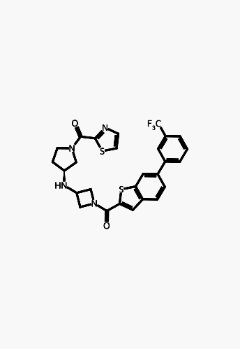 O=C(c1cc2ccc(-c3cccc(C(F)(F)F)c3)cc2s1)N1CC(N[C@H]2CCN(C(=O)c3nccs3)C2)C1